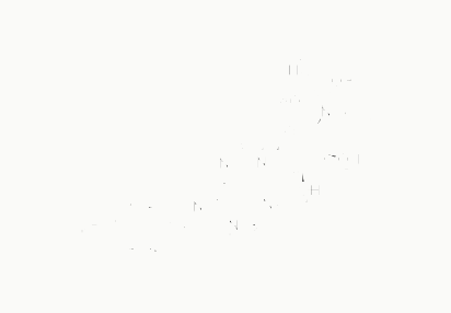 CN([C@@H]1O[C@@H](n2cnc3c(NCc4ccc(F)cc4)ncnc32)[C@H](O)[C@@H]1O)S(=O)(=O)O